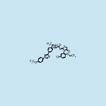 CC(NNC(=O)/N=C1\SCC(=O)N1c1cc(Cl)ccc1OCC(F)(F)F)c1ccc(-c2ncn(-c3ccc(OC(F)(F)F)cc3)n2)cc1